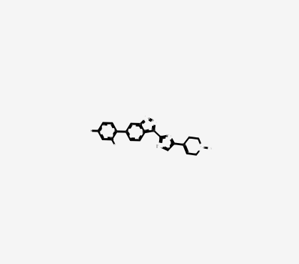 CCc1cc(O)ccc1-c1ccc2c(-c3nc(C4=CCN(C(C)=O)CC4)c[nH]3)n[nH]c2c1